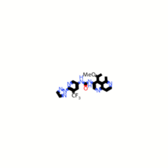 COC(C)c1c(NC(=O)Nc2cnc(-n3nccn3)c(C(F)(F)F)c2)cnc2ccnc(C)c12